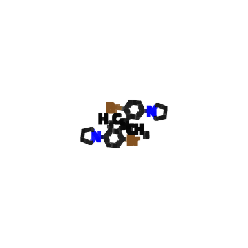 C[Si](C)(c1cc(N2CCCC2)ccc1Br)c1cc(N2CCCC2)ccc1Br